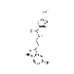 O=C(NCCc1c[nH]c2ccc(F)cc12)c1cc(CBr)on1